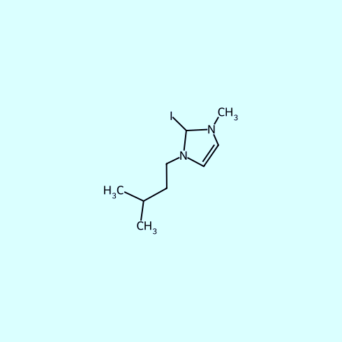 CC(C)CCN1C=CN(C)C1I